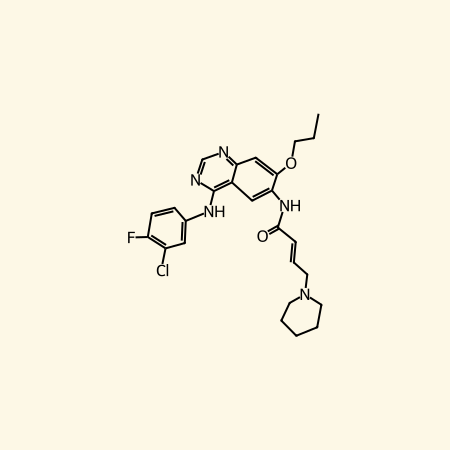 CCCOc1cc2ncnc(Nc3ccc(F)c(Cl)c3)c2cc1NC(=O)C=CCN1CCCCC1